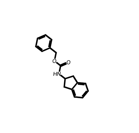 O=C(NC1Cc2ccccc2C1)OCc1ccccc1